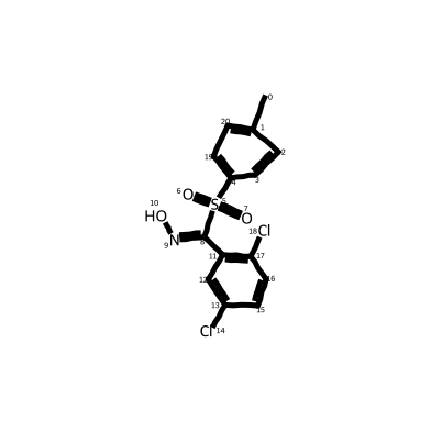 Cc1ccc(S(=O)(=O)C(=NO)c2cc(Cl)ccc2Cl)cc1